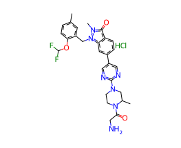 Cc1ccc(OC(F)F)c(Cn2c3cc(-c4cnc(N5CCN(C(=O)CN)C(C)C5)nc4)ccc3c(=O)n2C)c1.Cl